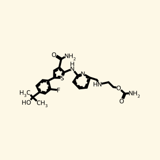 CC(C)(O)c1ccc(-c2cc(C(N)=O)c(Nc3cccc(CNCCOC(N)=O)n3)s2)c(F)c1